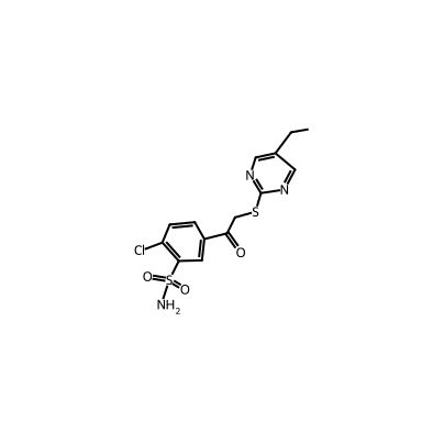 CCc1cnc(SCC(=O)c2ccc(Cl)c(S(N)(=O)=O)c2)nc1